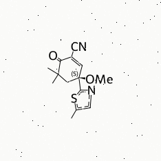 CO[C@]1(c2ncc(C)s2)C=C(C#N)C(=O)C(C)(C)C1